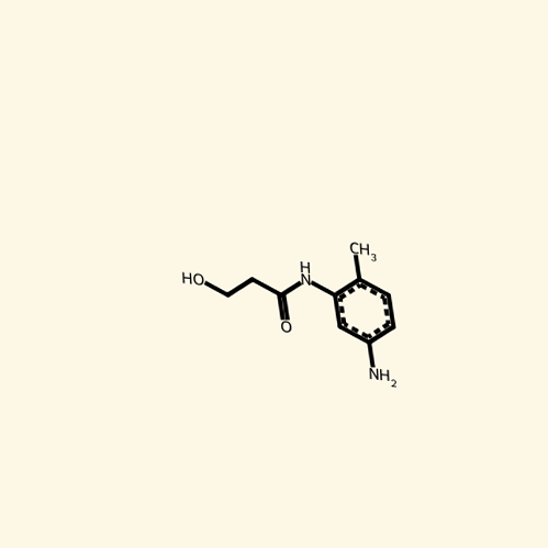 Cc1ccc(N)cc1NC(=O)CCO